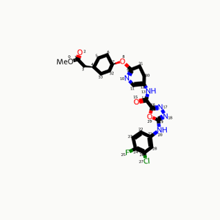 COC(=O)C[C@H]1CC[C@@H](OC2=NC=C(NC(=O)c3nnc(Nc4ccc(F)c(Cl)c4)o3)CC2)CC1